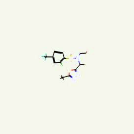 CC(c1nnc(C(C)(C)C)o1)N(CCO)S(=O)(=O)c1ccc(C(F)(F)F)cc1Cl